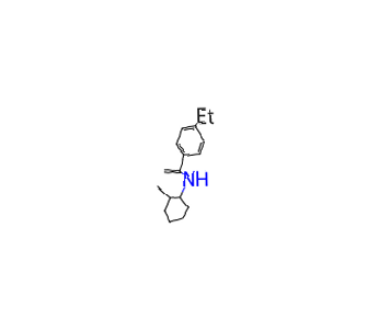 C=C(NC1CCCCC1C)c1ccc(CC)cc1